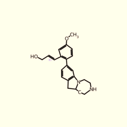 COc1ccc(-c2ccc3c(c2)N2CCNCCC2C3)c(/C=C/CO)c1